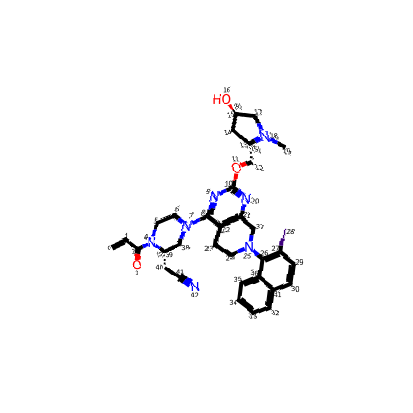 C=CC(=O)N1CCN(c2nc(OC[C@@H]3C[C@@H](O)CN3C)nc3c2CCN(c2c(I)ccc4ccccc24)C3)C[C@@H]1CC#N